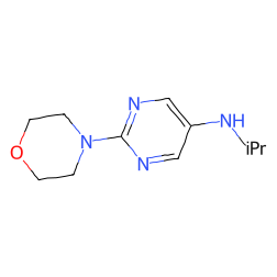 CC(C)Nc1cnc(N2CCOCC2)nc1